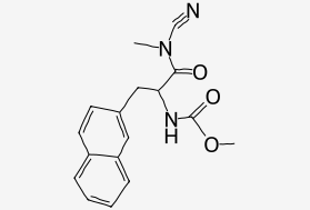 COC(=O)NC(Cc1ccc2ccccc2c1)C(=O)N(C)C#N